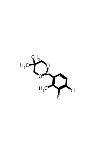 Cc1c(B2OCC(C)(C)CO2)ccc(Cl)c1F